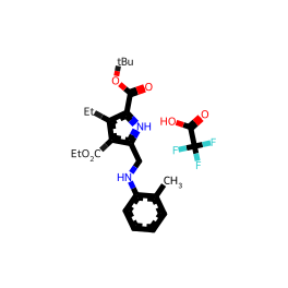 CCOC(=O)c1c(CNc2ccccc2C)[nH]c(C(=O)OC(C)(C)C)c1CC.O=C(O)C(F)(F)F